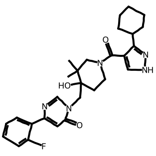 CC1(C)CN(C(=O)c2c[nH]nc2C2CCCCC2)CCC1(O)Cn1cnc(-c2ccccc2F)cc1=O